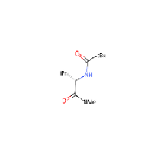 CNC(=O)[C@@H](NC(=O)C(C)(C)C)C(C)C